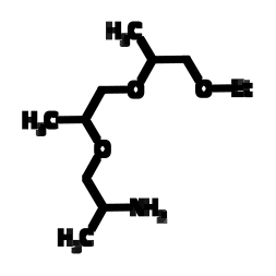 CCOCC(C)OCC(C)OCC(C)N